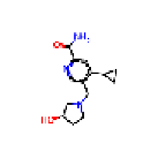 NC(=O)c1cc(C2CC2)c(CN2CC[C@@H](O)C2)cn1